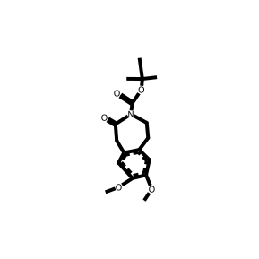 COc1cc2c(cc1OC)CC(=O)N(C(=O)OC(C)(C)C)CC2